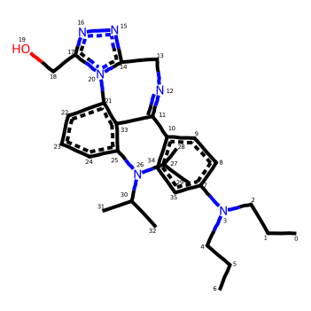 CCCN(CCC)c1ccc(C2=NCc3nnc(CO)n3-c3cccc(N(C(C)C)C(C)C)c32)cc1